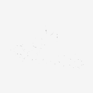 O=C(O)C=CC(=O)O.c1ccc2c(c1)COC21CCN(CCCCOC(Cc2cc3ccccn3n2)c2cc3ccccn3n2)CC1